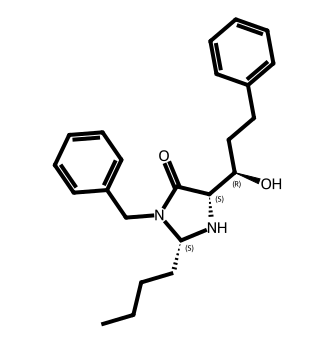 CCCC[C@H]1N[C@@H]([C@H](O)CCc2ccccc2)C(=O)N1Cc1ccccc1